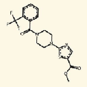 COC(=O)c1cnc(N2CCN(C(=O)c3ccccc3C(F)(F)F)CC2)s1